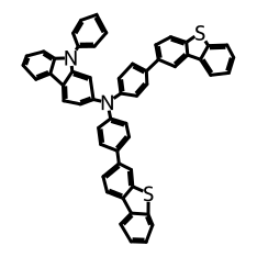 c1ccc(-n2c3ccccc3c3ccc(N(c4ccc(-c5ccc6c(c5)sc5ccccc56)cc4)c4ccc(-c5ccc6sc7ccccc7c6c5)cc4)cc32)cc1